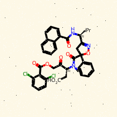 CC(C)[C@H](NC(=O)c1cccc2ccccc12)C1=NOC(C(=O)N(C)[C@@H](CC(=O)O)C(=O)COC(=O)c2c(Cl)cccc2Cl)(c2ccccc2)C1